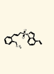 C=Cc1cccc2c1ccn2S(=O)(=O)CC=Cc1ccccc1CN